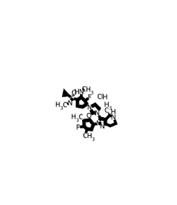 CN=S(=O)(c1ccc(-n2ccn(-c3c4c(nn3-c3cc(C)c(F)c(C)c3)CCN[C@H]4C)c2=O)c(F)c1NC)C1CC1.Cl